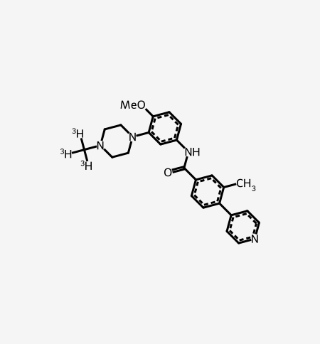 [3H]C([3H])([3H])N1CCN(c2cc(NC(=O)c3ccc(-c4ccncc4)c(C)c3)ccc2OC)CC1